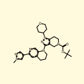 Cn1cc(-c2cc3c(cn2)N(c2nn(C4CCOCC4)c4c2CN(C(=O)OC(C)(C)C)CC4)CCC3)cn1